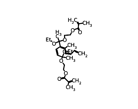 C=C\C=C/C(C)=C(\C=C/C(C)(OCC)OCCOC(=O)C(=C)C)C(C)(OCC)OCCOC(=O)C(=C)C